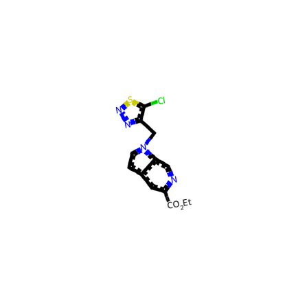 CCOC(=O)c1cc2ccn(Cc3nnsc3Cl)c2cn1